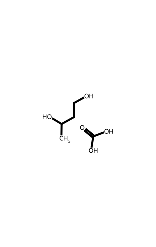 CC(O)CCO.O=C(O)O